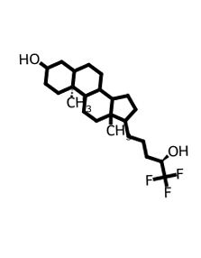 CC12CCC3C(CCC4CC(O)CC[C@@]43C)C1CCC2CCC[C@@H](O)C(F)(F)F